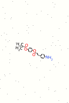 C=C(C)C(=O)Oc1ccc(OC(=O)/C=C/c2ccc(N)cc2)cc1